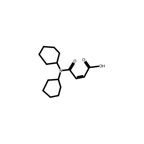 O=C(O)/C=C\C(=O)N(C1CCCCC1)C1CCCCC1